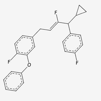 FC(=CCc1ccc(F)c(Oc2ccccc2)c1)C(c1ccc(F)cc1)C1CC1